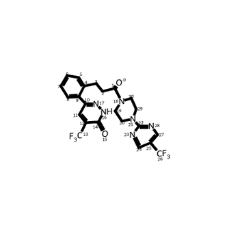 O=C(CCc1ccccc1-c1cc(C(F)(F)F)c(=O)[nH]n1)N1CCN(c2ncc(C(F)(F)F)cn2)CC1